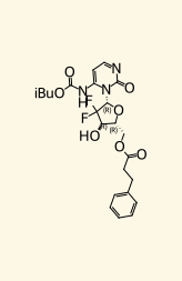 CC(C)COC(=O)Nc1ccnc(=O)n1[C@@H]1O[C@H](COC(=O)CCc2ccccc2)[C@@H](O)C1(F)F